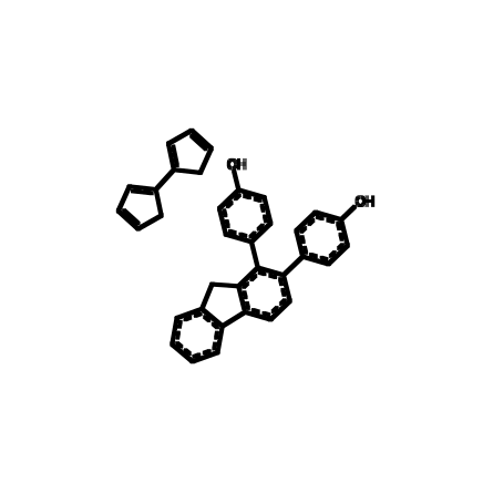 C1=CCC(C2=CC=CC2)=C1.Oc1ccc(-c2ccc3c(c2-c2ccc(O)cc2)Cc2ccccc2-3)cc1